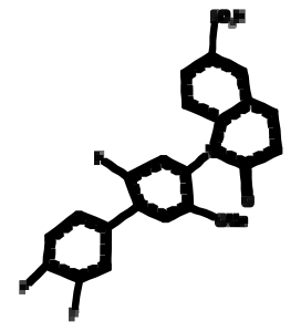 COc1cc(-c2ccc(F)c(F)c2)c(F)cc1-n1c(=O)ccc2cc(S(=O)(=O)O)ccc21